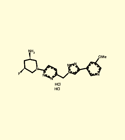 COc1cncc(-c2cn(Cc3ccc(N4C[C@H](N)C[C@H](F)C4)nn3)nn2)c1.Cl.Cl